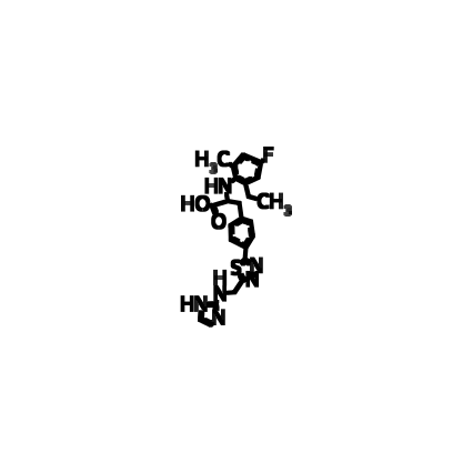 CCc1cc(F)cc(C)c1NC(Cc1ccc(-c2nnc(CNc3ncc[nH]3)s2)cc1)C(=O)O